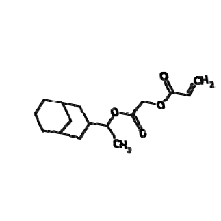 C=CC(=O)OCC(=O)OC(C)C1CC2CCCC(C2)C1